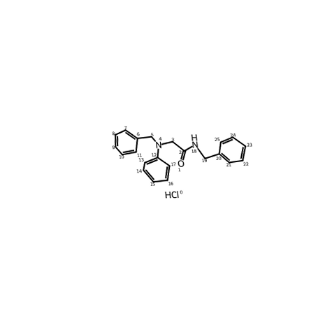 Cl.O=C(CN(Cc1ccccc1)c1ccccc1)NCc1ccccc1